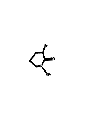 CCCN1CCCC(CC)C1=O